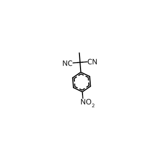 CC(C#N)(C#N)c1ccc([N+](=O)[O-])cc1